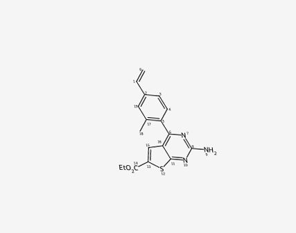 C=Cc1ccc(-c2nc(N)nc3sc(C(=O)OCC)cc23)c(C)c1